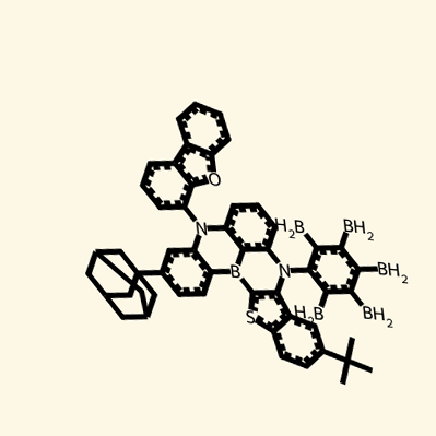 Bc1c(B)c(B)c(N2c3cccc4c3B(c3ccc(C56CC7CC(CC(C7)C5)C6)cc3N4c3cccc4c3oc3ccccc34)c3sc4ccc(C(C)(C)C)cc4c32)c(B)c1B